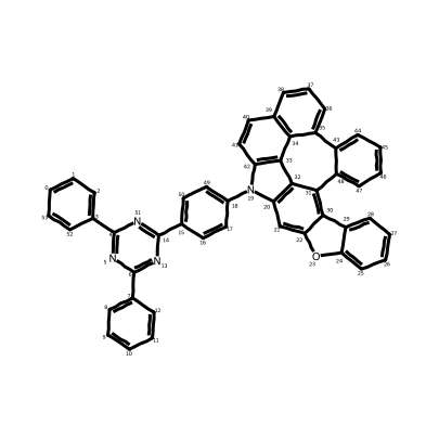 c1ccc(-c2nc(-c3ccccc3)nc(-c3ccc(-n4c5cc6oc7ccccc7c6c6c5c5c7c(cccc7ccc54)-c4ccccc4-6)cc3)n2)cc1